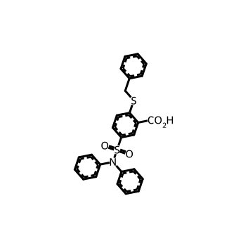 O=C(O)c1cc(S(=O)(=O)N(c2ccccc2)c2ccccc2)ccc1SCc1ccccc1